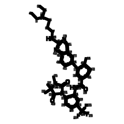 CCN(CC)CCCNc1ncc2cc(-c3cc(C(=O)Nc4cc(C(F)(F)F)ccc4N4C(=O)N(C)C(C)(C)C4=O)ccc3C)ccc2n1